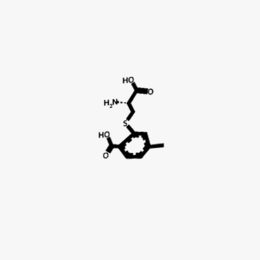 Cc1ccc(C(=O)O)c(SC[C@H](N)C(=O)O)c1